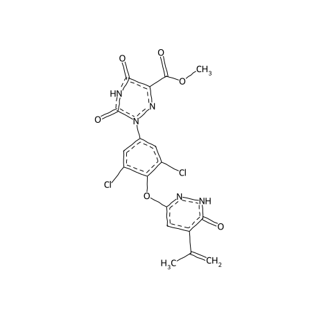 C=C(C)c1cc(Oc2c(Cl)cc(-n3nc(C(=O)OC)c(=O)[nH]c3=O)cc2Cl)n[nH]c1=O